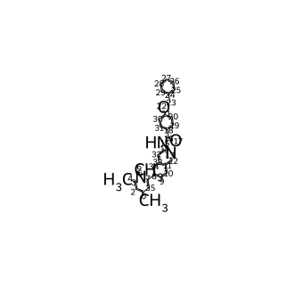 CC1=C=C(C)N(C)C(c2ccc3cnc(NC(=O)c4ccc(OCc5ccccc5)cc4)cc3c2)=C1